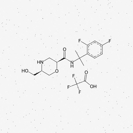 CC(C)(NC(=O)[C@@H]1CN[C@H](CO)CO1)c1ccc(F)cc1F.O=C(O)C(F)(F)F